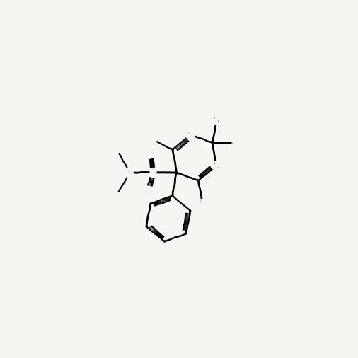 CC1=NC(N)(Cl)N=C(N)C1(c1ccccc1)S(=O)(=O)N(C)C